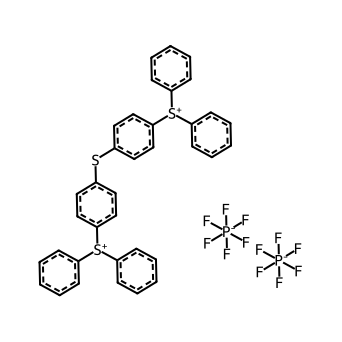 F[P-](F)(F)(F)(F)F.F[P-](F)(F)(F)(F)F.c1ccc([S+](c2ccccc2)c2ccc(Sc3ccc([S+](c4ccccc4)c4ccccc4)cc3)cc2)cc1